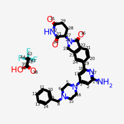 Nc1cc(N2CCN(Cc3ccccc3)CC2)cc(-c2ccc3c(c2)CN(C2CCC(=O)NC2=O)C3=O)n1.O=C(O)C(F)(F)F